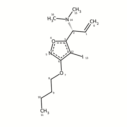 C=C[C@H](c1onc(OCCCC)c1I)N(C)C